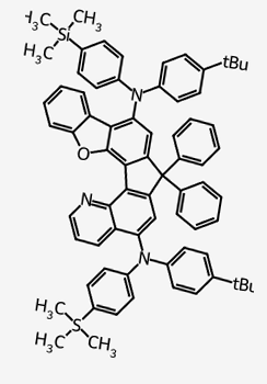 CC(C)(C)c1ccc(N(c2ccc(S(C)(C)C)cc2)c2cc3c(c4ncccc24)-c2c(cc(N(c4ccc(C(C)(C)C)cc4)c4ccc([Si](C)(C)C)cc4)c4c2oc2ccccc24)C3(c2ccccc2)c2ccccc2)cc1